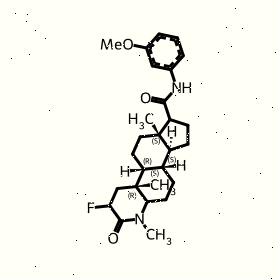 COc1cccc(NC(=O)C2CC[C@H]3[C@@H]4CCC5N(C)C(=O)C(F)C[C@]5(C)[C@@H]4CC[C@]23C)c1